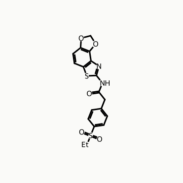 CCS(=O)(=O)c1ccc(CC(=O)Nc2nc3c4c(ccc3s2)OCO4)cc1